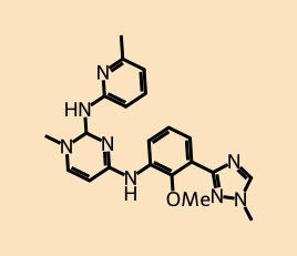 COc1c(NC2=NC(Nc3cccc(C)n3)N(C)C=C2)cccc1-c1ncn(C)n1